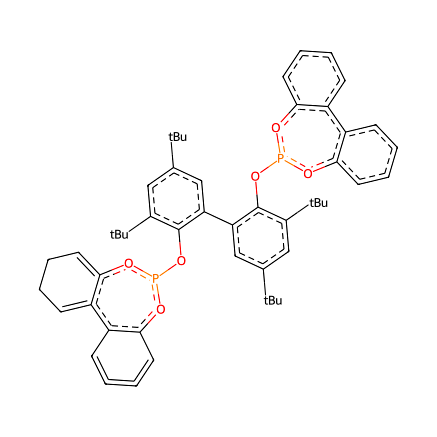 CC(C)(C)c1cc(-c2cc(C(C)(C)C)cc(C(C)(C)C)c2Op2oc3ccccc3c3ccccc3o2)c(Op2oc3c(c4c(o2)=CCCC=4)C=C=C=C3)c(C(C)(C)C)c1